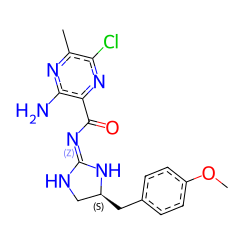 COc1ccc(C[C@H]2CN/C(=N/C(=O)c3nc(Cl)c(C)nc3N)N2)cc1